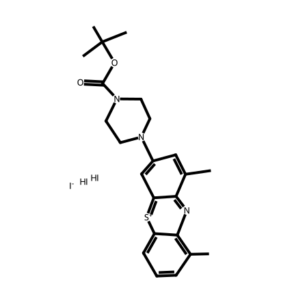 Cc1cccc2[s+]c3cc(N4CCN(C(=O)OC(C)(C)C)CC4)cc(C)c3nc12.I.I.[I-]